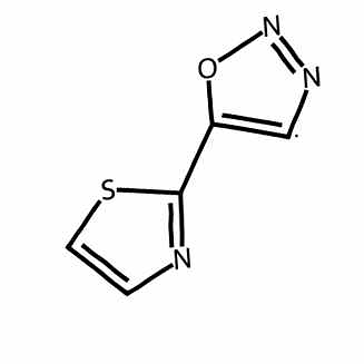 [c]1nnoc1-c1nccs1